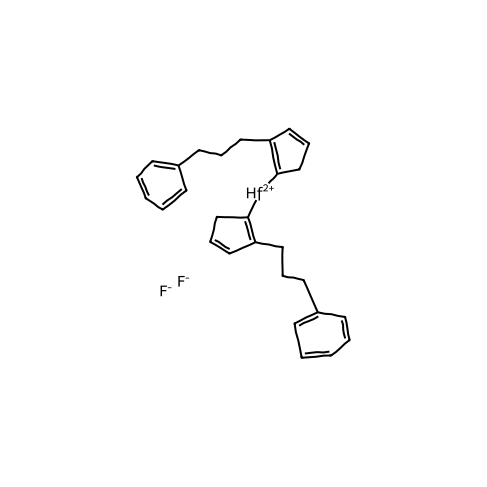 C1=CC(CCCc2ccccc2)=[C]([Hf+2][C]2=C(CCCc3ccccc3)C=CC2)C1.[F-].[F-]